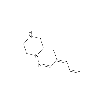 C=C/C=C(C)\C=N/N1CCNCC1